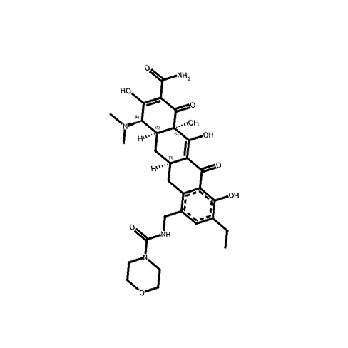 CCc1cc(CNC(=O)N2CCOCC2)c2c(c1O)C(=O)C1=C(O)[C@]3(O)C(=O)C(C(N)=O)=C(O)[C@H](N(C)C)[C@@H]3C[C@@H]1C2